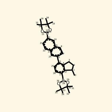 CC1CCc2c(-c3ccc4cc(B5OC(C)(C)C(C)(C)O5)ccc4c3)ccc(B3OC(C)(C)C(C)(C)O3)c21